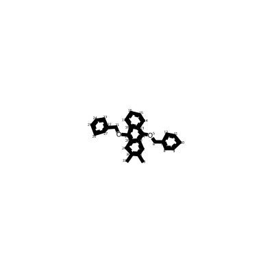 Cc1cc2c(OCc3ccccc3)c3ccccc3c(OCc3ccccc3)c2cc1C